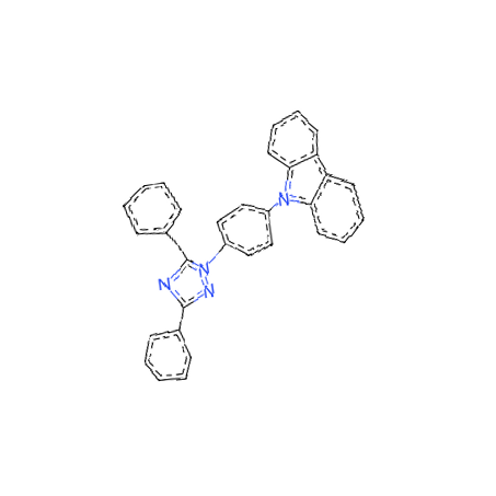 c1ccc(-c2nc(-c3ccccc3)n(-c3ccc(-n4c5ccccc5c5ccccc54)cc3)n2)cc1